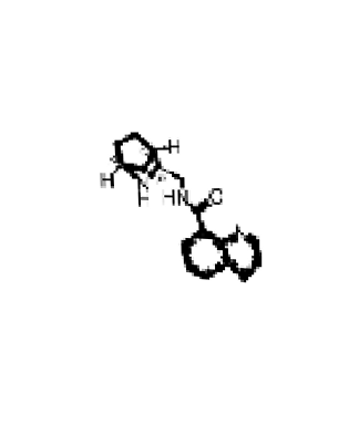 O=C(NC[C@H]1N[C@@H]2CC[C@H]1C2)c1cccc2cccnc12